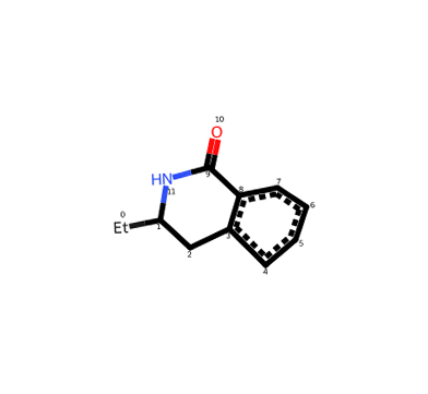 CCC1Cc2ccccc2C(=O)N1